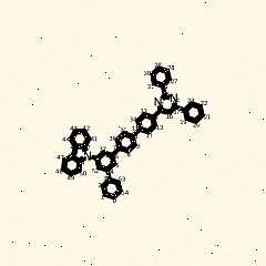 c1ccc(-c2cc(-c3ccc(-c4ccc(-c5cc(-c6ccccc6)nc(-c6ccccc6)n5)cc4)cc3)cc(-n3c4ccccc4c4ccccc43)c2)cc1